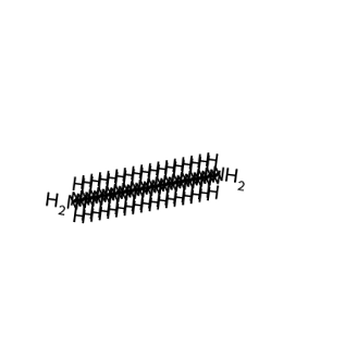 NNNNNNNNNNNNNNNNNNNNNNNNNNNNNNNNNNNN